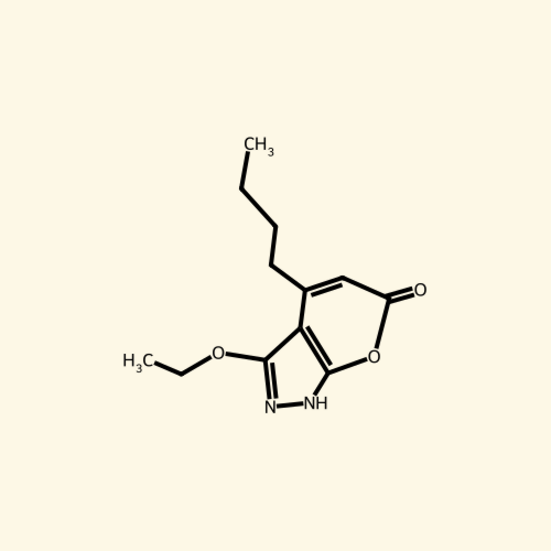 CCCCc1cc(=O)oc2[nH]nc(OCC)c12